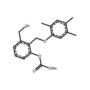 COC(=O)Oc1cccc(CS)c1COc1cc(C)c(C)cc1C